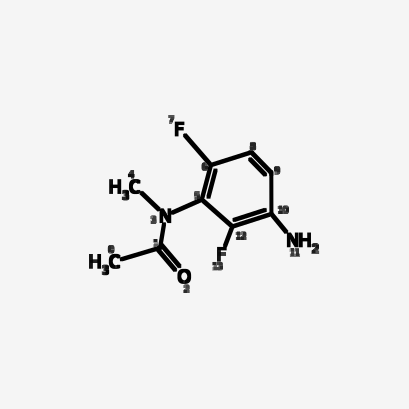 CC(=O)N(C)c1c(F)ccc(N)c1F